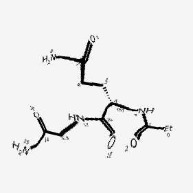 CCC(=O)N[C@@H](CCC(N)=O)C(=O)NCC(N)=O